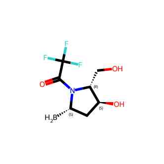 B[C@H]1C[C@H](O)[C@@H](CO)N1C(=O)C(F)(F)F